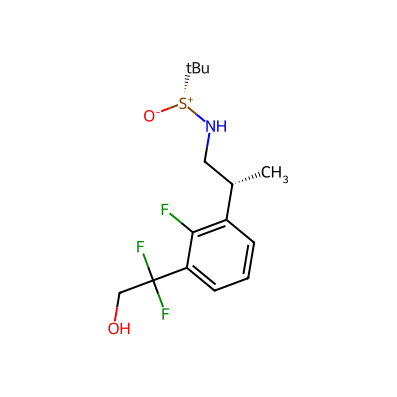 C[C@@H](CN[S@+]([O-])C(C)(C)C)c1cccc(C(F)(F)CO)c1F